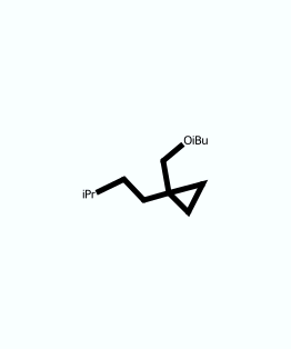 CC(C)CCC1(COCC(C)C)CC1